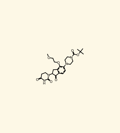 COCCOc1c(N2CCN(C(=O)OC(C)(C)C)CC2)ccc2c1CC(N1CCC(=O)NC1=O)C2=O